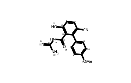 COc1ccc(-c2c(C#N)ccc(O)c2C(=O)NC(=N)N)cc1